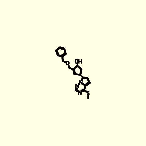 CSc1ncnn2c([C@@H]3C=C(COCc4ccccc4)[C@H](O)C3)ccc12